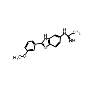 COc1cccc(-c2nc3ccc(NC(C)=N)cc3[nH]2)c1